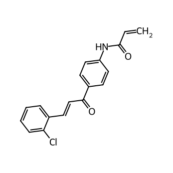 C=CC(=O)Nc1ccc(C(=O)/C=C/c2ccccc2Cl)cc1